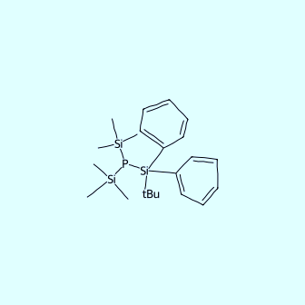 CC(C)(C)[Si](c1ccccc1)(c1ccccc1)P([Si](C)(C)C)[Si](C)(C)C